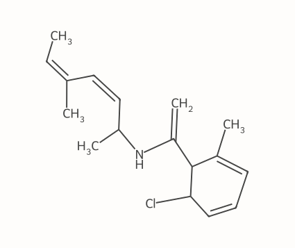 C=C(NC(C)/C=C\C(C)=C/C)C1C(C)=CC=CC1Cl